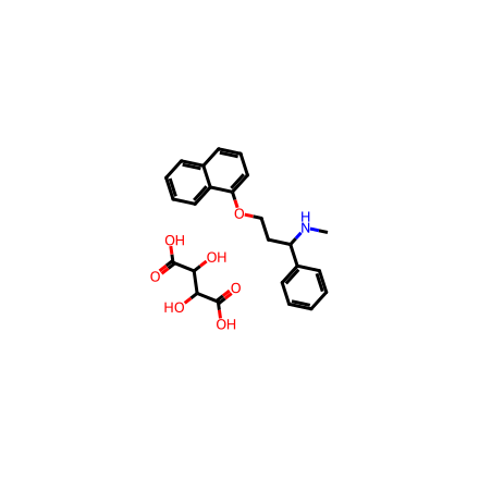 CNC(CCOc1cccc2ccccc12)c1ccccc1.O=C(O)C(O)C(O)C(=O)O